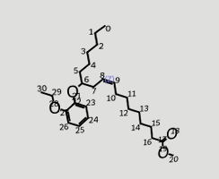 CCCCCCC(C/C=C\CCCCCCCC(=O)OC)Oc1ccccc1OCC